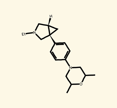 CCN1C[C@@H]2C[C@]2(c2ccc(N3CC(C)OC(C)C3)cc2)C1